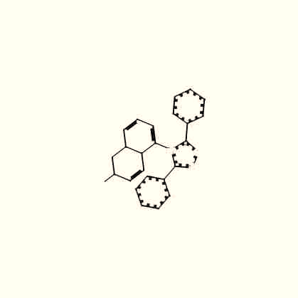 CC1C=CC2C(n3c(-c4ccccc4)nnc3-c3ccccc3)=CC=CC2C1